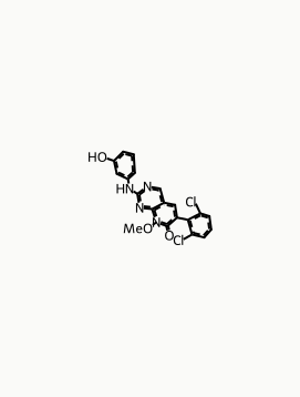 COn1c(=O)c(-c2c(Cl)cccc2Cl)cc2cnc(Nc3cccc(O)c3)nc21